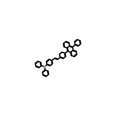 C1=C(/C=C/c2ccc(N(c3ccccc3)c3ccccc3)cc2)CCC(c2c3ccccc3c(-c3ccccc3)c3ccccc23)=C1